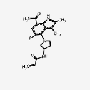 C=CC(=O)NC1CCN(c2c(F)cc(C(N)=O)c3[nH]c(C)c(C)c23)C1